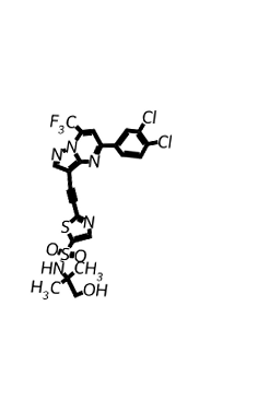 CC(C)(CO)NS(=O)(=O)c1cnc(C#Cc2cnn3c(C(F)(F)F)cc(-c4ccc(Cl)c(Cl)c4)nc23)s1